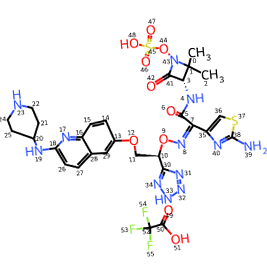 CC1(C)[C@H](NC(=O)/C(=N\O[C@H](COc2ccc3nc(NC4CCNCC4)ccc3c2)c2nn[nH]n2)c2csc(N)n2)C(=O)N1OS(=O)(=O)O.O=C(O)C(F)(F)F